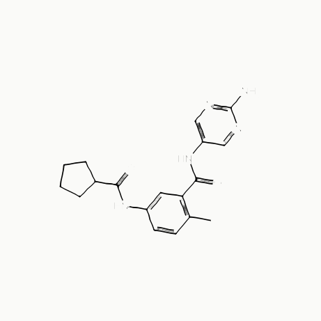 Cc1ccc(NC(=O)C2CCCC2)cc1C(=O)Nc1cnc(N)nc1